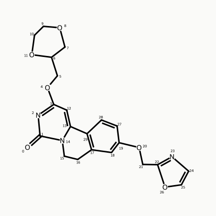 O=c1nc(OCC2COCCO2)cc2n1CCc1cc(OCc3ncco3)ccc1-2